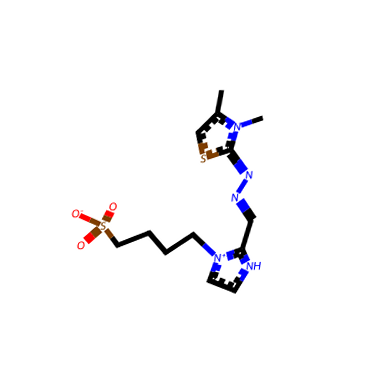 Cc1csc(=NN=Cc2[nH]cc[n+]2CCCCS(=O)(=O)[O-])n1C